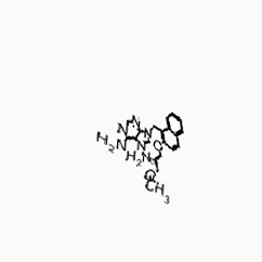 COC[C@H](N)COc1ccc2ccccc2c1Cn1cnc2c(N)ncnc21